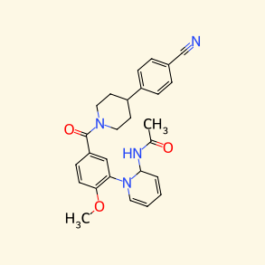 COc1ccc(C(=O)N2CCC(c3ccc(C#N)cc3)CC2)cc1N1C=CC=CC1NC(C)=O